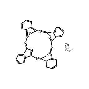 O=[S](=O)(O)[Zn].c1ccc2c(c1)-c1nc-2nc2[nH]c(nc3nc(nc4[nH]c(n1)c1ccccc41)-c1ccccc1-3)c1ccccc21